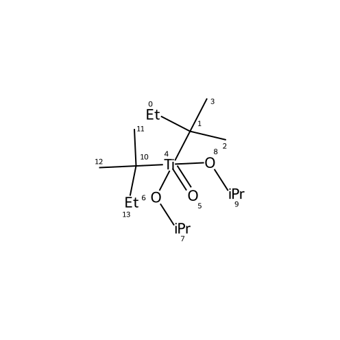 CC[C](C)(C)[Ti](=[O])([O]C(C)C)([O]C(C)C)[C](C)(C)CC